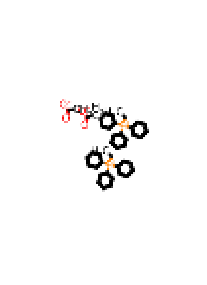 CC(=O)[O-].CC(=O)[O-].CC[P+](c1ccccc1)(c1ccccc1)c1ccccc1.CC[P+](c1ccccc1)(c1ccccc1)c1ccccc1